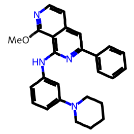 COc1nccc2cc(-c3ccccc3)nc(Nc3cccc(N4CCCCC4)c3)c12